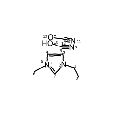 CCn1cc[n+](C)c1.N#CO.N#C[O-]